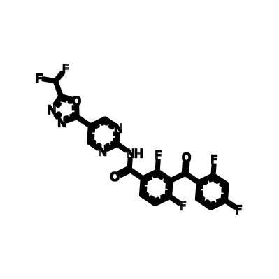 O=C(Nc1ncc(-c2nnc(C(F)F)o2)cn1)c1ccc(F)c(C(=O)c2ccc(F)cc2F)c1F